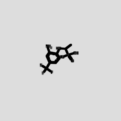 CC(Nc1ccc(C(F)(F)F)cc1N)P(=O)(O)O